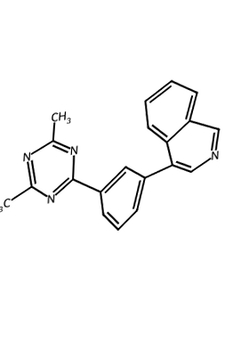 Cc1nc(C)nc(-c2cccc(-c3cncc4ccccc34)c2)n1